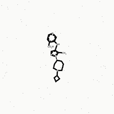 Cc1c(Nc2cnccc2C(=O)O)cnn1[C@H]1CCCN(C2CCC2)CC1